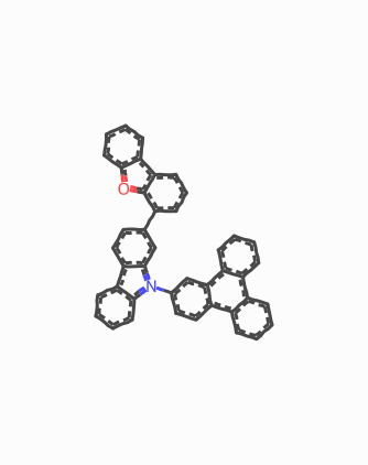 c1ccc2c(c1)oc1c(-c3ccc4c5ccccc5n(-c5ccc6c7ccccc7c7ccccc7c6c5)c4c3)cccc12